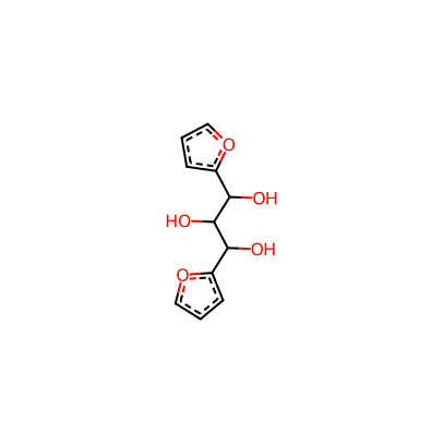 OC(c1ccco1)C(O)C(O)c1ccco1